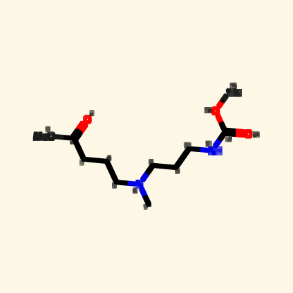 COC(=O)CCCN(C)CCCNC(=O)OC(C)(C)C